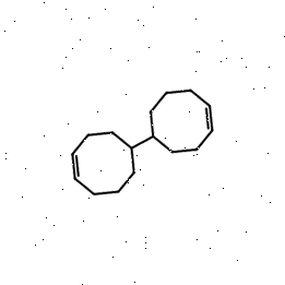 C1=CCCC(C2CCC=CCCC2)CCC1